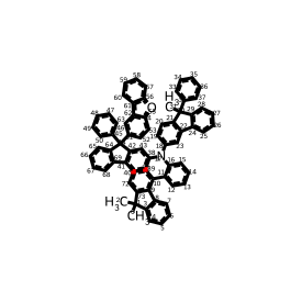 CC1(C)c2ccccc2-c2c(-c3ccccc3N(c3ccc4c(c3)-c3ccccc3C4(C)c3ccccc3)c3ccc4c(c3)C(c3ccccc3)(c3ccc5oc6ccccc6c5c3)c3ccccc3-4)cccc21